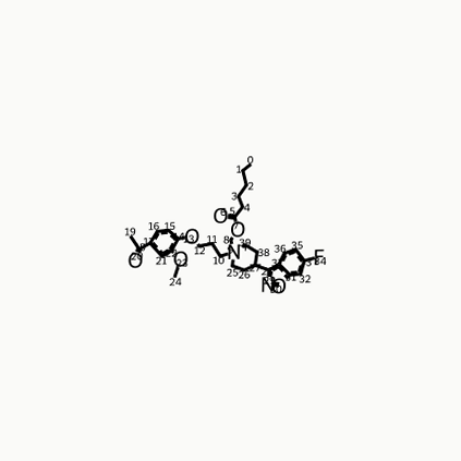 CCCCCC(=O)OC[N+]1(CCCOc2ccc(C(C)=O)cc2OC)CCC(c2noc3cc(F)ccc23)CC1